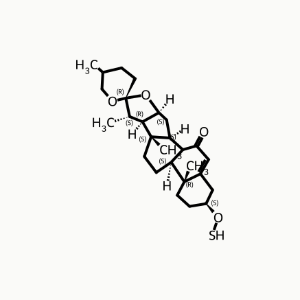 CC1CC[C@@]2(OC1)O[C@H]1C[C@H]3C4C(=O)C=C5C[C@@H](OS)CC[C@]5(C)[C@H]4CC[C@]3(C)[C@H]1[C@@H]2C